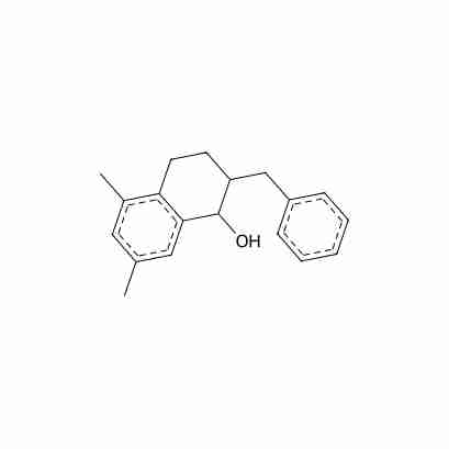 Cc1cc(C)c2c(c1)C(O)C(Cc1ccccc1)CC2